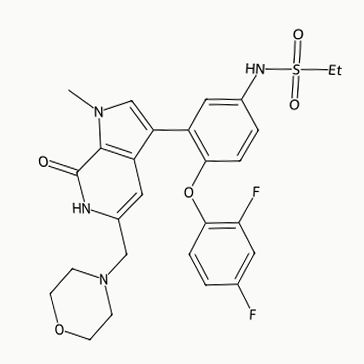 CCS(=O)(=O)Nc1ccc(Oc2ccc(F)cc2F)c(-c2cn(C)c3c(=O)[nH]c(CN4CCOCC4)cc23)c1